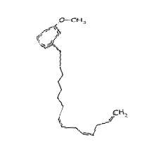 C=CC/C=C\C/C=C\CCCCCCCc1cccc(OC)c1